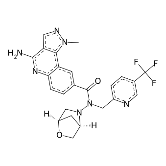 Cn1ncc2c(N)nc3ccc(C(=O)N(Cc4ccc(C(F)(F)F)cn4)N4C[C@H]5C[C@@H]4CO5)cc3c21